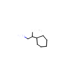 CCOC(=O)C(CN)C1CCCCC1